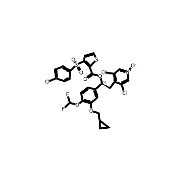 O=C(O[C@@H](Cc1c(Cl)c[n+]([O-])cc1Cl)c1ccc(OC(F)F)c(OCC2CC2)c1)c1sccc1S(=O)(=O)c1ccc(Cl)cc1